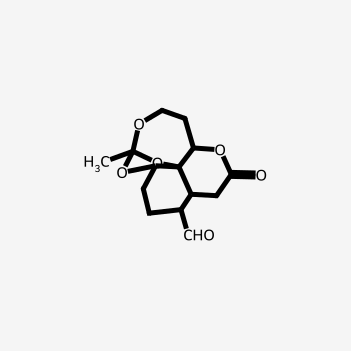 CC12OCCC3OC(=O)CC4C(C=O)CCC(O1)C34O2